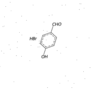 Br.O=Cc1ccc(O)cc1